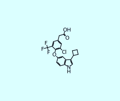 O=C(O)Cc1cc(Cl)c(Oc2ccc3[nH]cc(C4CCC4)c3c2)c(C(F)(F)F)c1